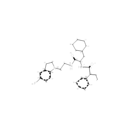 CCC(C(=O)NC(CC1CCCCC1)C(=O)NCCN1CCc2cc(F)ccc21)c1ccccc1